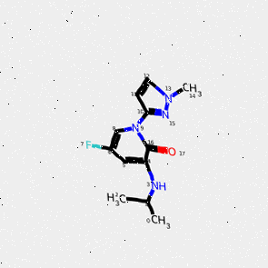 CC(C)Nc1cc(F)cn(-c2ccn(C)n2)c1=O